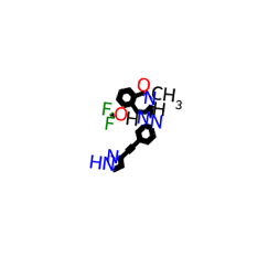 CN1C(=O)c2cccc(OC(F)F)c2[C@H]2C[C@@H]1c1nc3ccc(C#Cc4cc[nH]n4)cc3n12